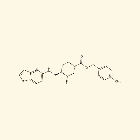 Cc1ccc(COC(=O)N2CC[C@H](CNc3ccc4occc4n3)[C@H](F)C2)cc1